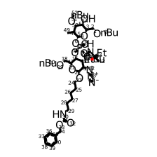 CCCCOCC1O[C@H](OP(=O)(ONC(C)(CC)CC)O[C@@H]2C(COCCCC)O[C@H](OCCCCCCNC(=O)OCc3ccccc3)C(N=[N+]=[N-])[C@H]2OCCCC)C(C)[C@@H](OCCCC)[C@@H]1O